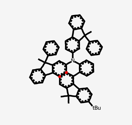 CC(C)(C)c1ccc2c(c1)C(C)(C)c1cccc(-c3ccccc3N(c3ccc4c(c3)C(C)(c3ccccc3)c3ccccc3-4)c3ccc4c(c3)C(C)(c3ccccc3)c3ccccc3-4)c1-2